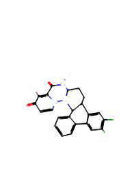 CN1C(=O)c2c(O)c(=O)ccn2N2C3c4ccccc4-c4cc(F)c(F)cc4C3CCC12